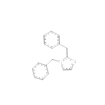 c1ccc(Cc2nccn2Cc2ccccc2)cc1